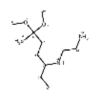 CCC(CCC([SiH3])(OC)OC)NCCN